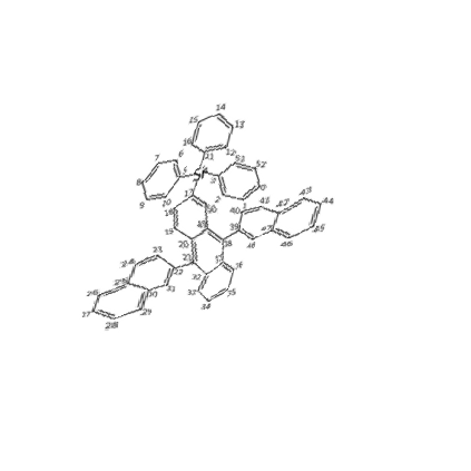 c1ccc([Si](c2ccccc2)(c2ccccc2)c2ccc3c(-c4ccc5ccccc5c4)c4ccccc4c(-c4ccc5ccccc5c4)c3c2)cc1